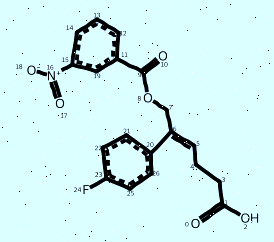 O=C(O)CCC=C(COC(=O)c1cccc([N+](=O)[O-])c1)c1ccc(F)cc1